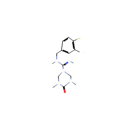 C/N=C(/N(C)Cc1ccc(F)c(C)c1)N1CN(C)C(=O)N(C)C1